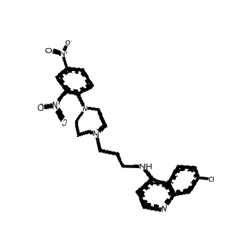 O=[N+]([O-])c1ccc(N2CCN(CCCNc3ccnc4cc(Cl)ccc34)CC2)c([N+](=O)[O-])c1